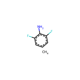 C.Nc1c(F)cccc1F